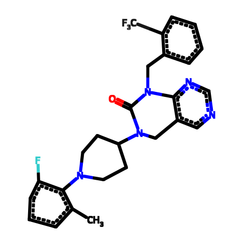 Cc1cccc(F)c1N1CCC(N2Cc3cncnc3N(Cc3ccccc3C(F)(F)F)C2=O)CC1